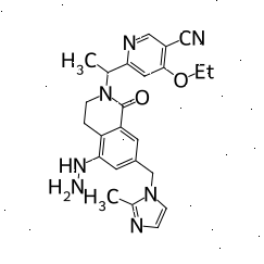 CCOc1cc(C(C)N2CCc3c(NN)cc(Cn4ccnc4C)cc3C2=O)ncc1C#N